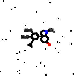 COc1cc(C23CCC(=O)CC2N(C)CC3)cc(C2CC2)c1OC